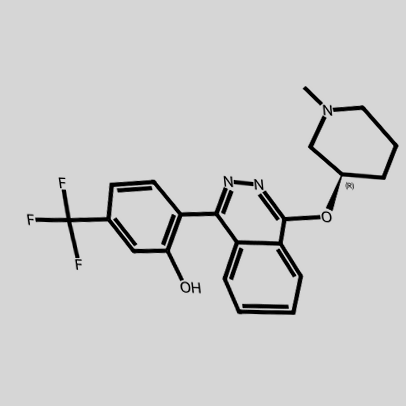 CN1CCC[C@@H](Oc2nnc(-c3ccc(C(F)(F)F)cc3O)c3ccccc23)C1